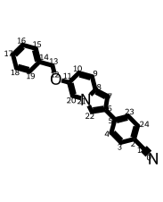 N#Cc1ccc(-c2cc3ccc(OCc4ccccc4)cn3c2)cc1